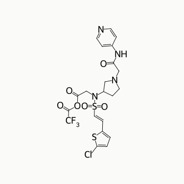 O=C(CN1CCC(N(CC(=O)OC(=O)C(F)(F)F)S(=O)(=O)C=Cc2ccc(Cl)s2)C1)Nc1ccncc1